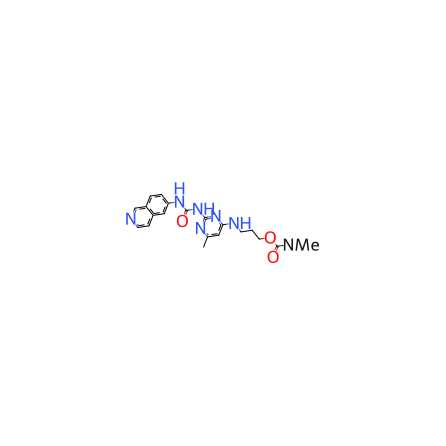 CNC(=O)OCCCNc1cc(C)nc(NC(=O)Nc2ccc3cnccc3c2)n1